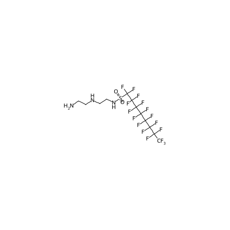 NCCNCCNS(=O)(=O)C(F)(F)C(F)(F)C(F)(F)C(F)(F)C(F)(F)C(F)(F)C(F)(F)C(F)(F)F